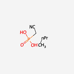 CCCC.N#CCP(=O)(O)O